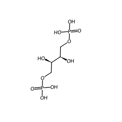 O=P(O)(O)OC[C@@H](O)[C@H](O)COP(=O)(O)O